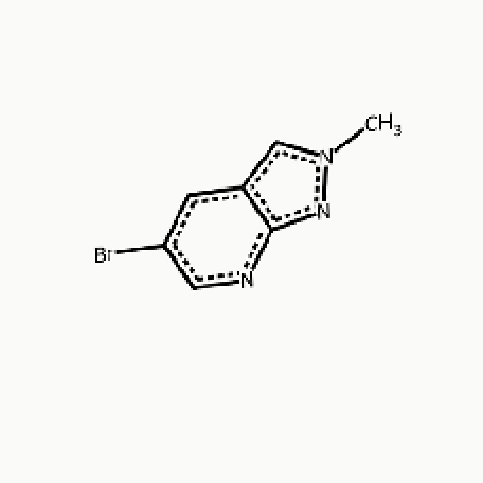 Cn1cc2cc(Br)cnc2n1